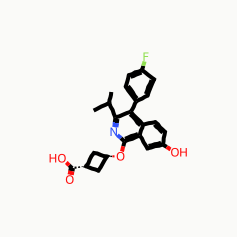 CC(C)c1nc(O[C@H]2C[C@@H](C(=O)O)C2)c2cc(O)ccc2c1-c1ccc(F)cc1